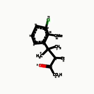 CCC(C(=O)C(=O)O)C(C)(C)c1cccc(Cl)c1OC